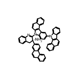 N[C@]1(c2ccc3c(ccc4ccccc43)c2)Cc2ccccc2N=C1n1c2ccc(-n3c4ccccc4c4ccc5ccccc5c43)cc2c2c3ccccc3ccc21